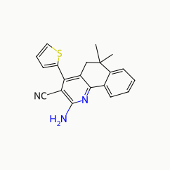 CC1(C)Cc2c(nc(N)c(C#N)c2-c2cccs2)-c2ccccc21